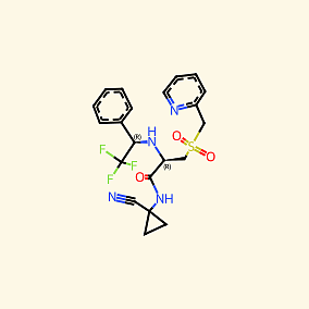 N#CC1(NC(=O)[C@H](CS(=O)(=O)Cc2ccccn2)N[C@H](c2ccccc2)C(F)(F)F)CC1